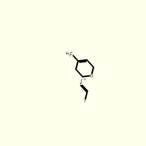 CC1=CCO[C@H](/C=C/I)C1